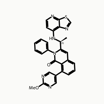 COc1ncc(-c2cccc3cc([C@H](C)Nc4ccnc5scnc45)n(-c4ccccc4)c(=O)c23)cn1